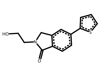 O=C1c2ccc(-c3cccs3)cc2CN1CCO